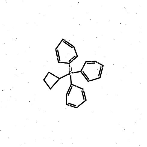 c1ccc([PH](c2ccccc2)(c2ccccc2)C2CCC2)cc1